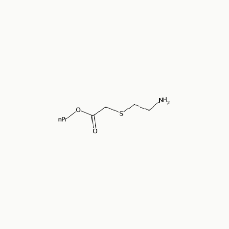 CCCOC(=O)CSCCN